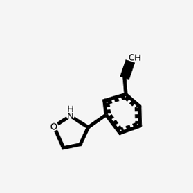 C#Cc1cccc(C2CCON2)c1